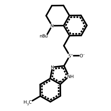 CCCCN1CCCc2cccc(C[S+]([O-])c3nc4cc(C)ccc4[nH]3)c21